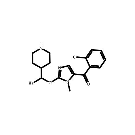 CC(C)C(Oc1ncc(C(=O)c2ccccc2Cl)n1C)C1CCNCC1